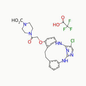 O=C(O)C(F)(F)F.O=C(O)N1CCN(C(=O)COc2ccc3cc2CCc2cccc(c2)Nc2ncc(Cl)c(n2)N3)CC1